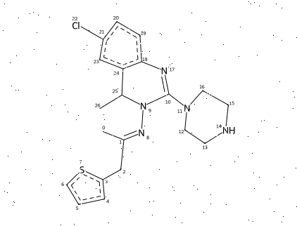 C/C(Cc1cccs1)=N\N1C(N2CCNCC2)=Nc2ccc(Cl)cc2C1C